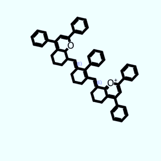 C1=C(c2ccccc2)OC2C(=C1c1ccccc1)CCCC2/C=C1\CCCC(/C=C2\CCCc3c(-c4ccccc4)cc(-c4ccccc4)[o+]c32)=C1c1ccccc1